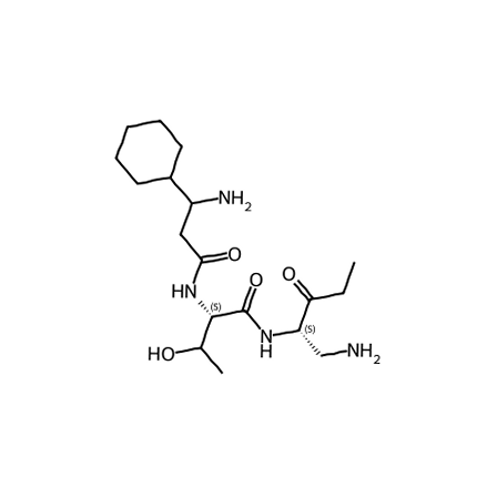 CCC(=O)[C@H](CN)NC(=O)[C@@H](NC(=O)CC(N)C1CCCCC1)C(C)O